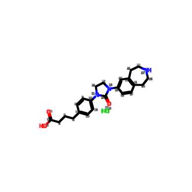 Cl.O=C(O)CCCc1ccc(N2CCN(c3ccc4c(c3)CCNCC4)C2=O)cc1